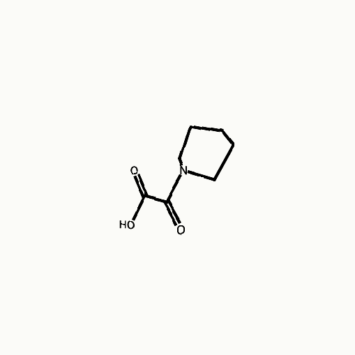 O=C(O)C(=O)N1CCCCC1